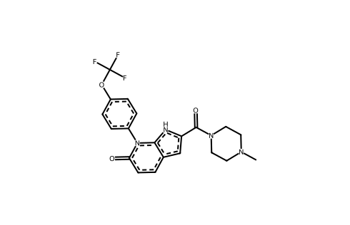 CN1CCN(C(=O)c2cc3ccc(=O)n(-c4ccc(OC(F)(F)F)cc4)c3[nH]2)CC1